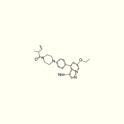 C=CC(C)C(=O)N1CCN(c2ccc(-c3cc(OCC)cn4ncc(C#N)c34)cc2)CC1